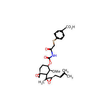 CO[C@H]1C(C2(C)O[C@@H]2CC=C(C)C)[C@]2(CC[C@H]1OC(=O)NC(=O)CSc1ccc(C(=O)O)cc1)CO2